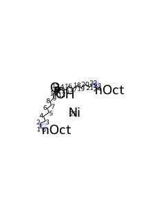 CCCCCCCC/C=C\CCCCCCCCP(=O)(O)CCCCCCCC/C=C\CCCCCCCC.[Ni]